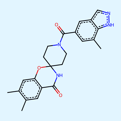 Cc1cc2c(cc1C)C(=O)NC1(CCN(C(=O)c3cc(C)c4[nH]ncc4c3)CC1)O2